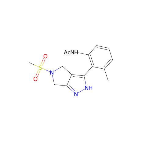 CC(=O)Nc1cccc(C)c1-c1[nH]nc2c1CN(S(C)(=O)=O)C2